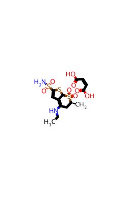 CCNC1=C2C=C(S(N)(=O)=O)SC2S(=O)(=O)[C@@H](C)C1.O=C(O)/C=C\C(=O)O